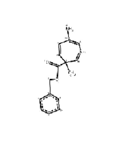 CC1(C(=O)OCc2ccccc2)C=CC(N)=CN=C1